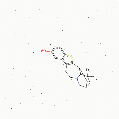 CCC1(C)CC2CC3c4sc5ccc(O)cc5c4CCN(C2)C31